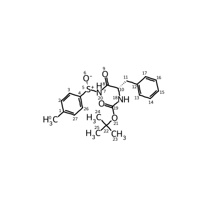 Cc1ccc([S@+]([O-])NC(=O)[C@H](Cc2ccccc2)NC(=O)OC(C)(C)C)cc1